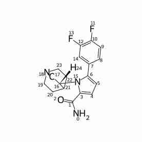 NC(=O)c1ccc(-c2ccc(F)c(F)c2)n1[C@H]1CN2CCC1CC2